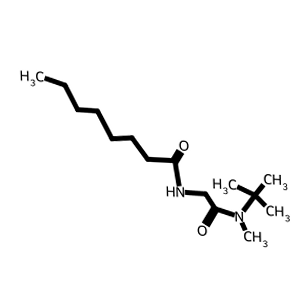 CCCCCCCC(=O)NCC(=O)N(C)C(C)(C)C